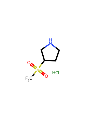 Cl.O=S(=O)(C1CCNC1)C(F)(F)F